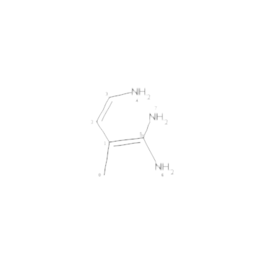 CC(/C=C\N)=C(N)N